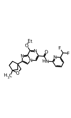 CCOc1nc(C(=O)Nc2cccc(C(F)F)n2)cn2cc(C34CCC(C)(C3)OC4)nc12